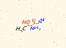 CC(O)C(N)C(=O)C=[N+]=[N-]